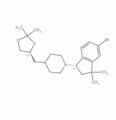 CC1(C)OC[C@H](CN2CCN([C@H]3CC(C)(C)c4cc(Br)ccc43)CC2)O1